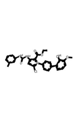 CCOC(=O)c1c(NC(=O)Nc2cccc(C)c2)cc(Cl)n1-c1ccc(-c2cccc(OC)c2O)cc1